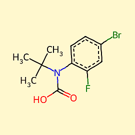 CC(C)(C)N(C(=O)O)c1ccc(Br)cc1F